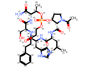 CC(=O)N1CCC[C@H]1C(=O)N[C@@H](CC(C)C)C(=O)N[C@@H](Cc1cnc[nH]1)C(=O)N[C@@H](CO)C(=O)N[C@H](C(N)=O)[C@@H](C)OP(=O)(O)OCCCCCc1ccccc1